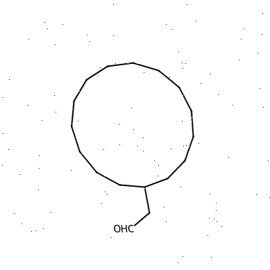 O=CCC1CCCCCCCCCCCCCC1